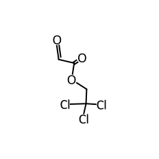 O=CC(=O)OCC(Cl)(Cl)Cl